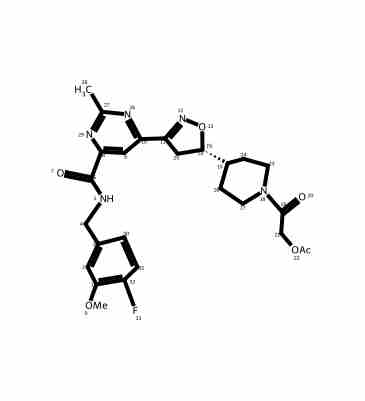 COc1cc(CNC(=O)c2cc(C3=NO[C@H](C4CCN(C(=O)COC(C)=O)CC4)C3)nc(C)n2)ccc1F